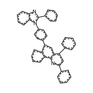 c1ccc(-c2cc(-c3ccccc3)c3cc(-c4ccc(-n5c(-c6ccccc6)nc6ccccc65)cc4)c4ccccc4c3n2)cc1